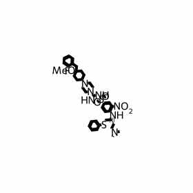 COC1(Cc2ccccc2F)CCC(N2CCN(C(=N)NS(=O)(=O)c3ccc(N[C@H](CCN(C)C)CSc4ccccc4)c([N+](=O)[O-])c3)CC2)CC1